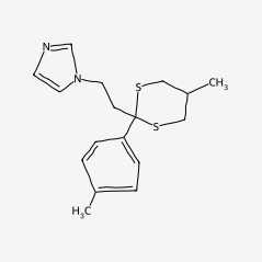 Cc1ccc(C2(CCn3ccnc3)SCC(C)CS2)cc1